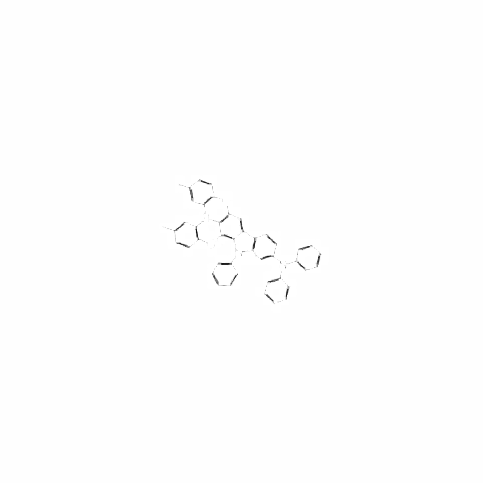 Cc1ccc2c(c1)B1c3cc(C)ccc3Oc3c1c(cc1c4ccc(N(c5ccccc5)c5ccccc5)cc4n(-c4ccccc4)c31)O2